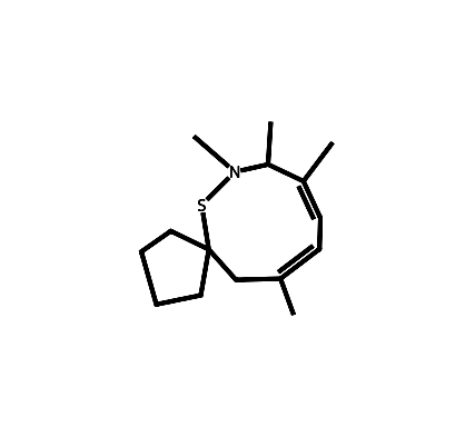 C/C1=C/C=C(/C)C(C)N(C)SC2(CCCC2)C1